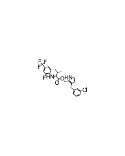 CC(C)C(Nc1ccc(C(F)(F)F)cc1F)C(=O)OCc1[nH]ccc1Cc1cccc(Cl)c1